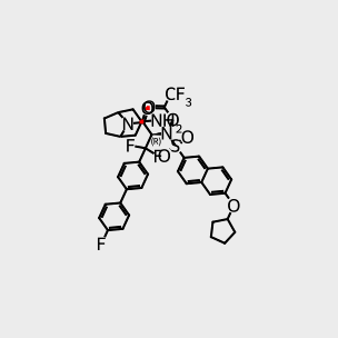 NC1CC2CCC(C1)N2C(=O)[C@@H](N(OC(=O)C(F)(F)F)S(=O)(=O)c1ccc2cc(OC3CCCC3)ccc2c1)C(F)(F)c1ccc(-c2ccc(F)cc2)cc1